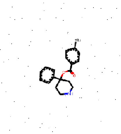 CC(C)(C)c1ccc(C(=O)OC2(c3ccccc3)CCNCC2)cc1